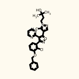 Cc1c(-c2onc(-c3cccc(OCc4ccccc4)c3Cl)c2-c2ncccn2)cnn1CCC(C)(C)O